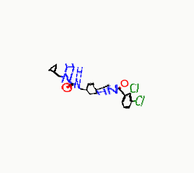 O=C(NCC1CC1)NCC1CCC(CNC(=O)c2cccc(Cl)c2Cl)CC1